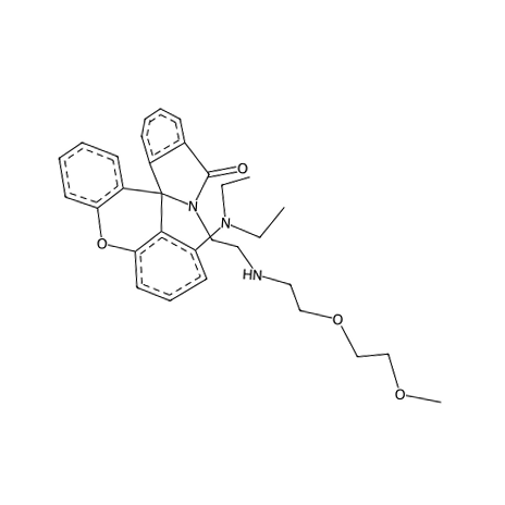 CCN(CC)c1cccc2c1C1(c3ccccc3O2)c2ccccc2C(=O)N1CCNCCOCCOC